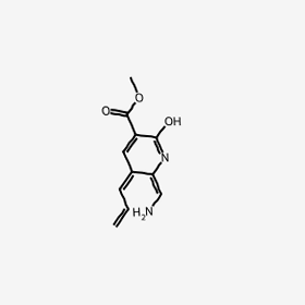 C=C/C=c1/cc(C(=O)OC)c(O)n/c1=C/N